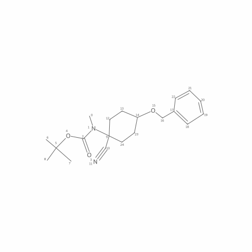 CN(C(=O)OC(C)(C)C)C1(C#N)CCC(OCc2ccccc2)CC1